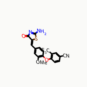 COc1cc(/C=C2\SC(N)=NC2=O)ccc1Oc1ccc(C#N)cc1C(F)(F)F